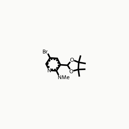 CNc1ncc(Br)cc1C1OC(C)(C)C(C)(C)O1